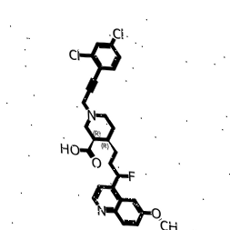 COc1ccc2nccc(C(F)CC[C@@H]3CCN(CC#Cc4ccc(Cl)cc4Cl)C[C@@H]3C(=O)O)c2c1